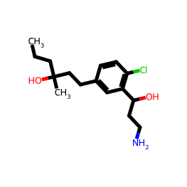 CCCC(C)(O)CCc1ccc(Cl)c(C(O)CCN)c1